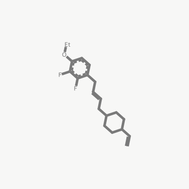 C=CC1CCC(CC=CCc2ccc(OCC)c(F)c2F)CC1